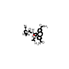 CC(C)c1nnc(C2(C[C@H](C)NCC(=O)N3[C@H](C#N)C[C@@H]4C[C@@H]43)c3ccc(C(N)=O)cc3CCc3cc(C(N)=O)ccc32)o1